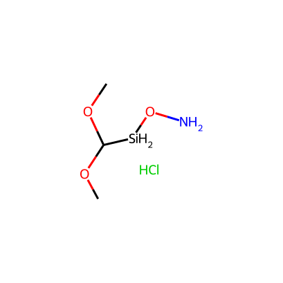 COC(OC)[SiH2]ON.Cl